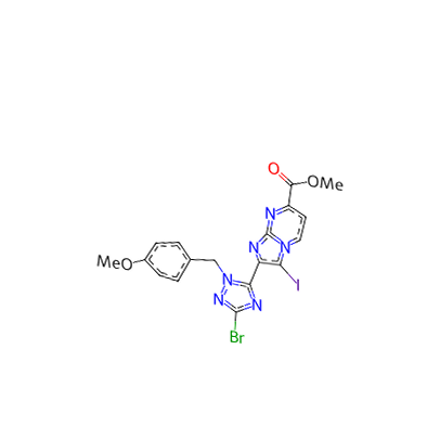 COC(=O)c1ccn2c(I)c(-c3nc(Br)nn3Cc3ccc(OC)cc3)nc2n1